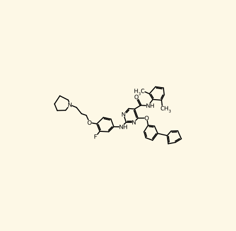 Cc1cccc(C)c1NC(=O)c1cnc(Nc2ccc(OCCCN3CCCCC3)c(F)c2)nc1Oc1cccc(-c2ccccc2)c1